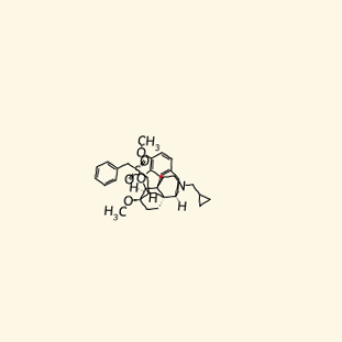 COc1ccc2c3c1O[C@H]1[C@@]4(OC)CC[C@@]5(C[C@@H]4CS(=O)(=O)Cc4ccccc4)[C@@H](C2)N(CC2CC2)CC[C@]315